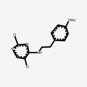 COc1ccc(CCNc2nc(Cl)ncc2Cl)cc1